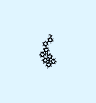 Brc1cccc(-c2cccc(-c3ccc4c(c3)c3ccccc3n4-c3ccc4c(c3)C(c3ccccc3)(c3ccccc3)c3ccccc3-4)c2)c1